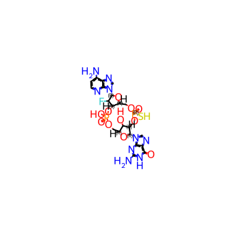 Nc1nc2c(ncn2[C@@H]2O[C@@H]3COP(=O)(O)O[C@@H]4C(F)[C@H](n5cnc6c(N)ccnc65)O[C@@H]4CO[P@@](=O)(S)O[C@H]2C3O)c(=O)[nH]1